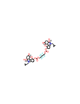 O=C(OCC(F)(F)C(F)(F)C(F)(F)COC(=O)Oc1ccc2c3c1O[C@H]1C(=O)CC[C@@]4(O)[C@@H](C2)N(CC2CC2)CC[C@]314)Oc1ccc2c3c1O[C@H]1C(=O)CC[C@@]4(O)[C@@H](C2)N(CC2CC2)CC[C@]314